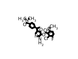 COc1ccc(F)c(Cl)c1[C@@H](C)Oc1c(N)ncc2c(-c3ccc(C(=O)N(C)C)cc3)coc12